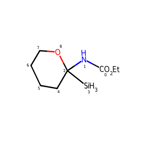 CCOC(=O)NC1([SiH3])CCCCO1